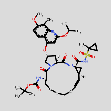 COc1ccc2c(O[C@@H]3C[C@H]4C(=O)N[C@]5(C(=O)NS(=O)(=O)C6(C)CC6)C[C@H]5/C=C\CCCCC[C@H](NC(=O)OC(C)(C)C)C(=O)N4C3)cc(OC(C)C)nc2c1C